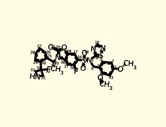 COc1ccc(CN(c2ncns2)S(=O)(=O)c2cc3oc(=O)n([C@H](C)c4ccccc4C4(F)CNC4)c3cc2F)c(OC)c1